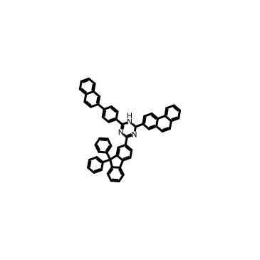 c1ccc(C2(c3ccccc3)c3ccccc3-c3ccc(C4=NC(c5ccc6c(ccc7ccccc76)c5)NC(c5ccc(-c6ccc7ccccc7c6)cc5)=N4)cc32)cc1